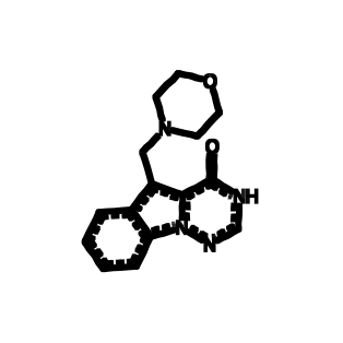 O=c1[nH]cnn2c1c(CN1CCOCC1)c1ccccc12